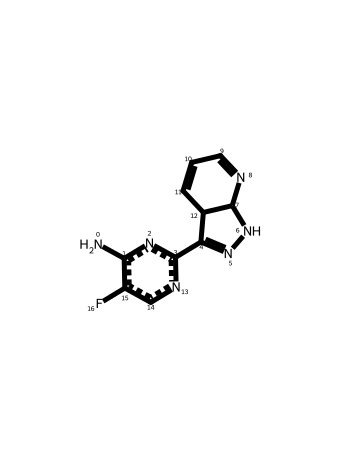 Nc1nc(C2=NNC3N=CC=CC23)ncc1F